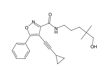 CC(C)(CO)CCCNC(=O)c1noc(-c2ccccc2)c1C#CC1CC1